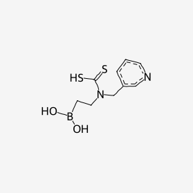 OB(O)CCN(Cc1cccnc1)C(=S)S